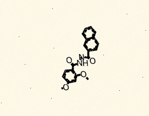 COc1ccc(C(=O)N[N]C(=O)c2ccc3ccccc3c2)c(OC)c1